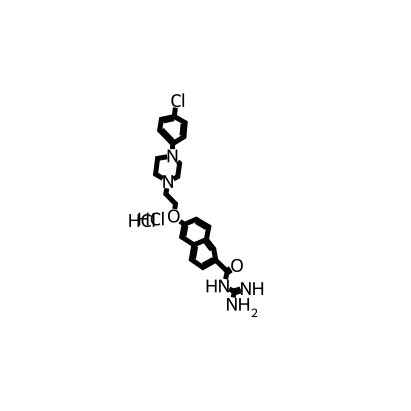 Cl.Cl.N=C(N)NC(=O)c1ccc2cc(OCCN3CCN(c4ccc(Cl)cc4)CC3)ccc2c1